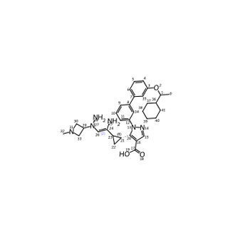 CC(Oc1cccc(-c2cccc(-n3ncc(C(=O)O)c3[C@@H]3CC3/C(N)=C/N(N)C3CN(C)C3)c2)c1)C1CCCCC1